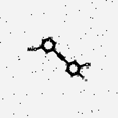 COc1cncc(C#Cc2ccc(F)c(C#N)c2)c1